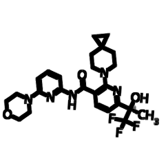 C[C@](O)(c1ccc(C(=O)Nc2cccc(N3CCOCC3)n2)c(N2CCC3(CC2)CC3)n1)C(F)(F)F